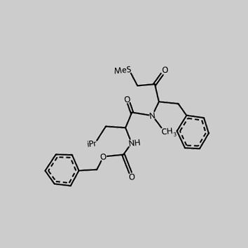 CSCC(=O)C(Cc1ccccc1)N(C)C(=O)C(CC(C)C)NC(=O)OCc1ccccc1